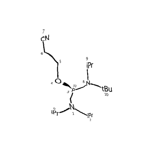 CC(C)N(C(C)C)[P@@](OCCC#N)N(C(C)C)C(C)(C)C